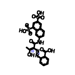 C/C(O)=C(/N=N/c1ccccc1C(=O)O)C(=O)Nc1ccc2cc(S(=O)(=O)O)cc(S(=O)(=O)O)c2c1